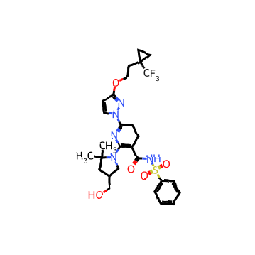 CC1(C)CC(CO)CN1C1=C(C(=O)NS(=O)(=O)c2ccccc2)CCC(n2ccc(OCCC3(C(F)(F)F)CC3)n2)=N1